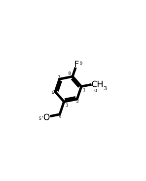 Cc1cc(C[O])ccc1F